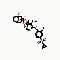 COc1c(Oc2ccc(S(=O)(=O)C3CC3)cc2F)ncnc1O[C@H]1CC2CC[C@@H](C1)N2C(=O)OC(C)(C)C